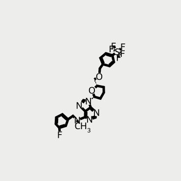 CN(Cc1cccc(F)c1)c1ncnc2c1ncn2[C@H]1CCC[C@@H](COCc2ccc(S(F)(F)(F)(F)F)cc2)O1